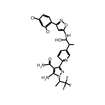 CC(c1ccc(-c2nn(C(C)C(F)(F)F)c(N)c2C(N)=O)nc1)C(O)Nc1cc(-c2ccc(Cl)cc2Cl)no1